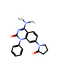 CN(C)c1nc(=O)n(-c2ccccc2)c2cc(N3CCCC3=O)ccc12